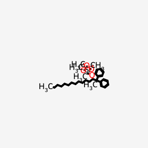 CCCCCCCCCCCCC(OC(C)[Si](OC)(OC)OC)C(C)(c1ccccc1)c1ccccc1